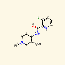 COC1CN(C(C)C)CCC1NC(=O)c1ncccc1Cl